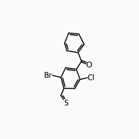 O=C(c1ccccc1)c1cc(Br)c(C=S)cc1Cl